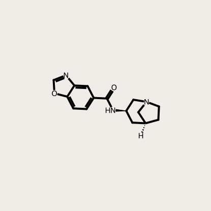 O=C(N[C@@H]1C[C@@H]2CCN(C2)C1)c1ccc2ocnc2c1